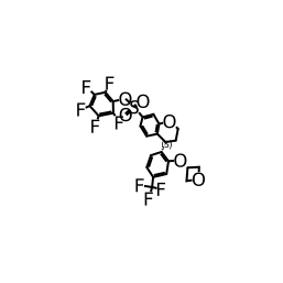 O=S(=O)(Oc1c(F)c(F)c(F)c(F)c1F)c1ccc2c(c1)OCC[C@@H]2c1ccc(C(F)(F)F)cc1OC1COC1